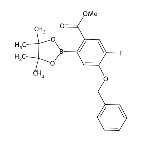 COC(=O)c1cc(F)c(OCc2ccccc2)cc1B1OC(C)(C)C(C)(C)O1